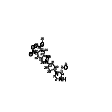 COC[C@@H]1CNCCN1C1CCC(n2cc3cc([N+](=O)[O-])c(C(=O)OC)cc3n2)CC1